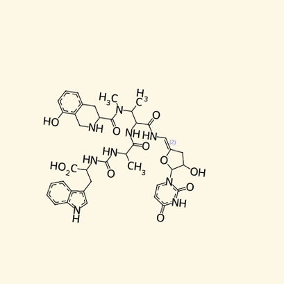 CC(NC(=O)NC(Cc1c[nH]c2ccccc12)C(=O)O)C(=O)NC(C(=O)N/C=C1/CC(O)C(n2ccc(=O)[nH]c2=O)O1)C(C)N(C)C(=O)C1Cc2cccc(O)c2CN1